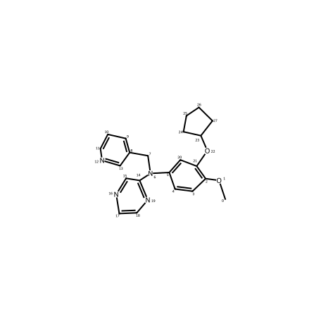 COc1ccc(N(Cc2cccnc2)c2cnccn2)cc1OC1CCCC1